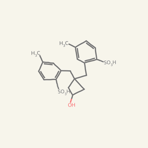 Cc1ccc(S(=O)(=O)O)c(CC2(Cc3cc(C)ccc3S(=O)(=O)O)CC(O)C2)c1